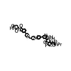 CCCS(=O)(=O)Nc1ccc(F)c(C(=O)c2c[nH]c3ncc(-c4ccc(N5CCC(CN6CCC(c7ccc8c(c7)CN(C7CCC(=O)NC7=O)C8=O)CC6)CC5)cc4)cc23)c1F